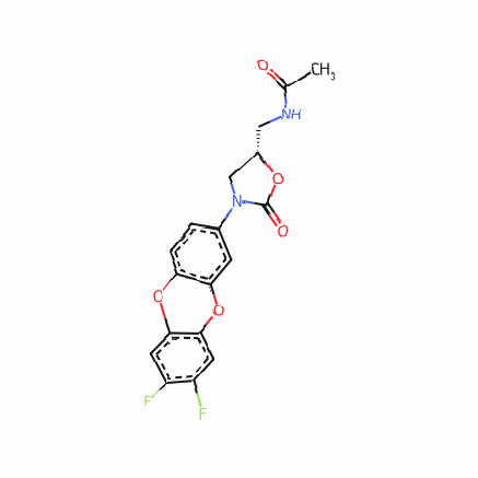 CC(=O)NC[C@H]1CN(c2ccc3c(c2)Oc2cc(F)c(F)cc2O3)C(=O)O1